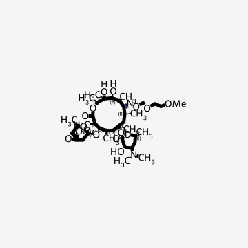 COCCOCO/N=C1\[C@H](C)C[C@@](C)(O)[C@H](O[C@@H]2O[C@H](C)CC(N(C)C)C2O)[C@@H](C)[C@H](O[C@H]2CC3(OC)OC3[C@@H](C)O2)[C@@H](C)C(=O)O[C@H](C)[C@@](C)(O)[C@H](O)[C@H]1C